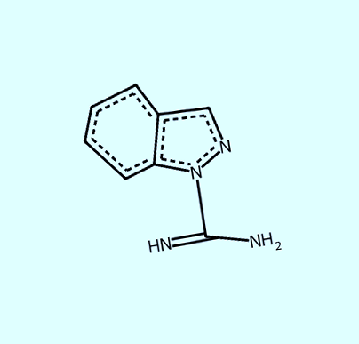 N=C(N)n1ncc2ccccc21